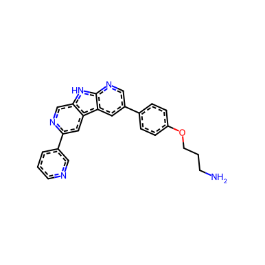 NCCCOc1ccc(-c2cnc3[nH]c4cnc(-c5cccnc5)cc4c3c2)cc1